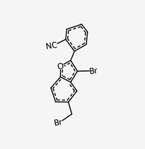 N#Cc1ccccc1-c1oc2ccc(CBr)cc2c1Br